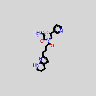 CCOC(=O)[C@H](CN(C(=O)CN)C(=O)CCCc1ccc2c(n1)NCCC2)c1cccnc1